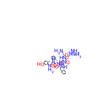 NCCC(=O)N[C@@H](CCCN=C(N)N)C(=O)NCC(=O)N[C@@H](Cc1ccccc1)C(=O)N[C@@H](Cc1ccccc1)C(=O)N[C@@H](Cc1ccc(O)cc1)C(N)=O